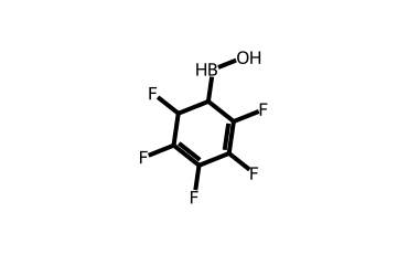 OBC1C(F)=C(F)C(F)=C(F)C1F